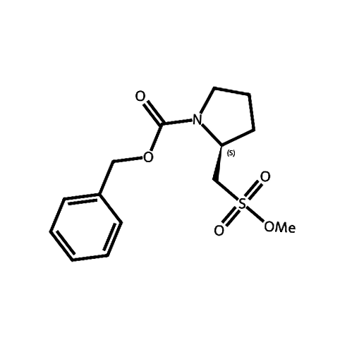 COS(=O)(=O)C[C@@H]1CCCN1C(=O)OCc1ccccc1